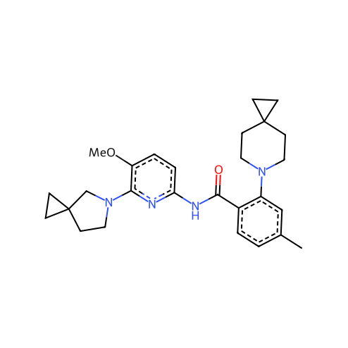 COc1ccc(NC(=O)c2ccc(C)cc2N2CCC3(CC2)CC3)nc1N1CCC2(CC2)C1